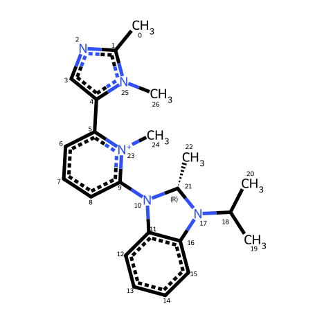 Cc1ncc(-c2cccc(N3c4ccccc4N(C(C)C)[C@H]3C)[n+]2C)n1C